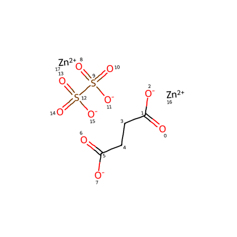 O=C([O-])CCC(=O)[O-].O=S(=O)([O-])S(=O)(=O)[O-].[Zn+2].[Zn+2]